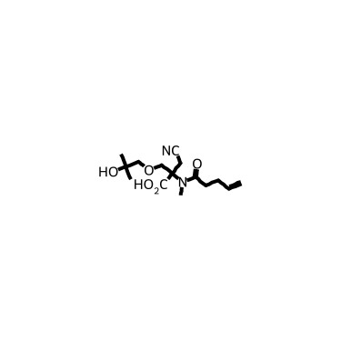 C=CCCC(=O)N(C)C(CC#N)(COCC(C)(C)O)C(=O)O